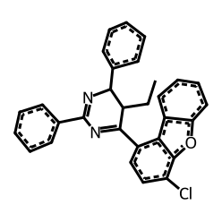 CCC1C(c2ccc(Cl)c3oc4ccccc4c23)=NC(c2ccccc2)=NC1c1ccccc1